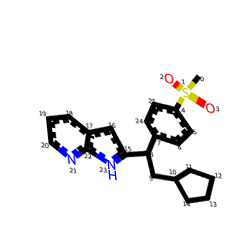 CS(=O)(=O)c1ccc(C(CC2CCCC2)c2cc3cccnc3[nH]2)cc1